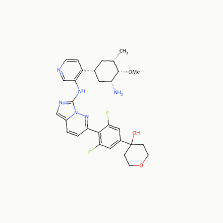 CO[C@@H]1[C@H](N)C[C@H](c2ccncc2Nc2ncc3ccc(-c4c(F)cc(C5(O)CCOCC5)cc4F)nn23)C[C@@H]1C